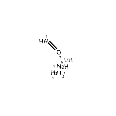 [LiH].[NaH].[O]=[AlH].[PbH2]